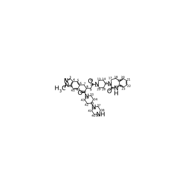 Cn1ncc2cc(CC(CC(=O)N3CCC(N4CCc5ccccc5NC4=O)CC3)C(=O)N3CCC(N4CCNCC4)CC3)ccc21